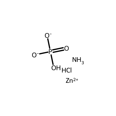 Cl.N.O=P([O-])([O-])O.[Zn+2]